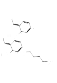 CC=C1C=CC=CC1C(=O)O.CC=C1C=CC=CC1C(=O)O.O=C(O)CCCCC(=O)O